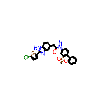 CS(=O)(=O)c1cc(NC(=O)Cc2ccc3[nH]c(-c4ccc(Cl)s4)nc3c2)ccc1-c1ccccc1